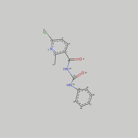 Cc1nc(Cl)ccc1C(=O)NC(=O)Nc1ccccc1